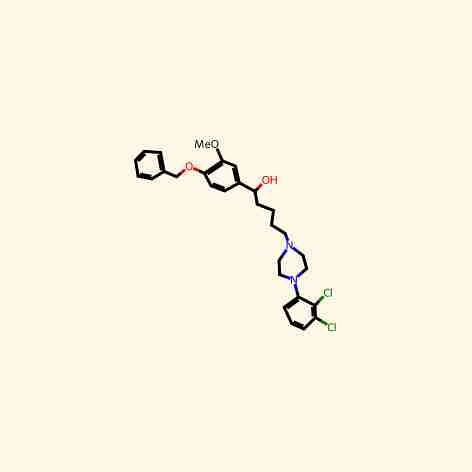 COc1cc(C(O)CCCCN2CCN(c3cccc(Cl)c3Cl)CC2)ccc1OCc1ccccc1